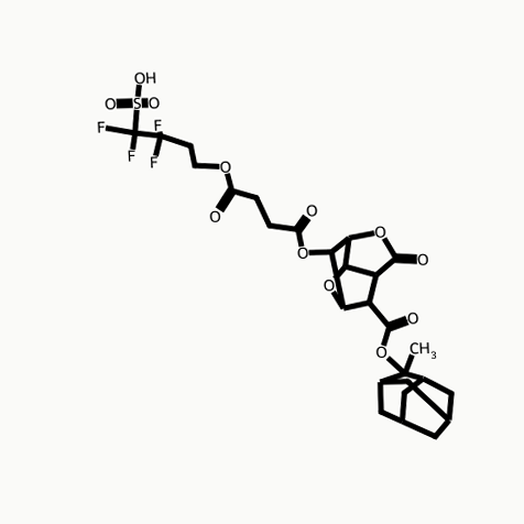 CC1(OC(=O)C2C3OC4C(OC(=O)C42)C3OC(=O)CCC(=O)OCCC(F)(F)C(F)(F)S(=O)(=O)O)C2CC3CC(C2)CC1C3